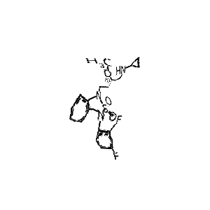 CO[C@@H](CCN1c2ccccc2N(c2ccc(F)cc2F)S1(=O)=O)CNC1CC1